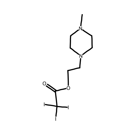 CN1CCN(CCOC(=O)C(I)(I)I)CC1